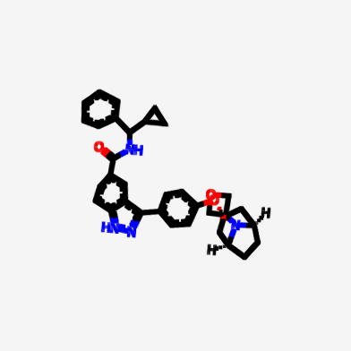 O=C(NC(c1ccccc1)C1CC1)c1ccc2[nH]nc(-c3ccc(O[C@@H]4C[C@H]5CC[C@@H](C4)N5C4COC4)cc3)c2c1